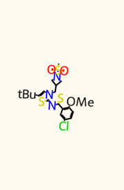 COc1ccc(Cl)cc1C(=S)N=c1sc(C(C)(C)C)cn1CC1CN(S(C)(=O)=O)C1